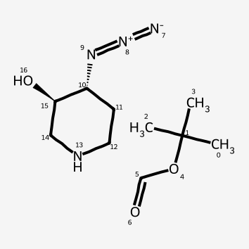 CC(C)(C)OC=O.[N-]=[N+]=N[C@@H]1CCNC[C@H]1O